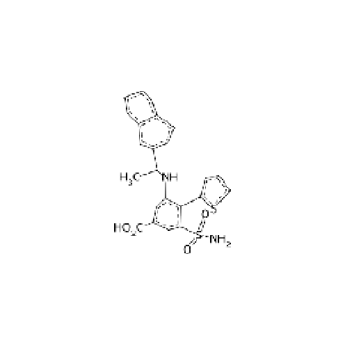 CC(Nc1cc(C(=O)O)cc(S(N)(=O)=O)c1-c1cccs1)c1ccc2ccccc2c1